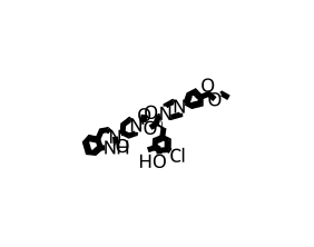 CCOC(=O)c1ccc(N2CCN(C(=O)[C@@H](Cc3cc(C)c(O)c(Cl)c3)OC(=O)N3CCC(N4CCc5ccccc5NC4=O)CC3)CC2)cc1